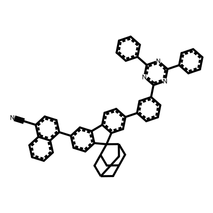 N#Cc1ccc(-c2ccc3c(c2)-c2ccc(-c4cccc(-c5nc(-c6ccccc6)nc(-c6ccccc6)n5)c4)cc2C32C3CC4CC(C3)CC2C4)c2ccccc12